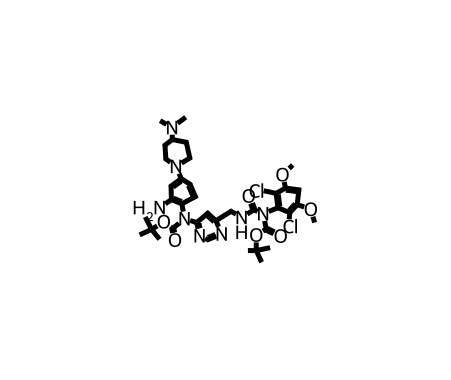 COc1cc(OC)c(Cl)c(N(C(=O)NCc2cc(N(C(=O)OC(C)(C)C)c3ccc(N4CCC(N(C)C)CC4)cc3N)ncn2)C(=O)OC(C)(C)C)c1Cl